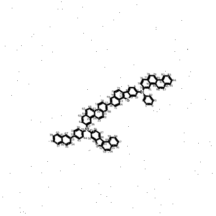 c1ccc(N(c2ccc3c(c2)sc2c4ccc(-c5ccc6c(ccc7c8cc(N(c9ccc(-c%10ccc%11ccccc%11c%10)cc9)c9ccc%10c(c9)sc9ccc%11ccccc%11c9%10)ccc8ccc67)c5)cc4ccc32)c2ccc3ccc4c5ccccc5ccc4c3c2)cc1